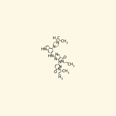 C=CCn1c(=O)c2cnc(Nc3cc(N4CCN(C(C)C)CC4)c4cc[nH]c4c3)nc2n1-c1ccc(=O)n(C(C)C)n1